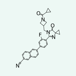 N#Cc1ccc2cc(-c3ccc(C4=NC5(CC5)C(=O)N4CC4CN(C(=O)C5CC5)C4)c(F)c3)ccc2c1